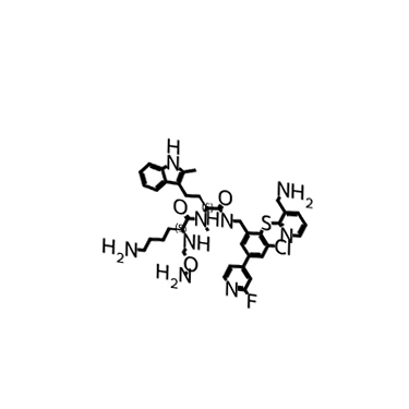 Cc1[nH]c2ccccc2c1CC[C@@H](C(=O)NCc1cc(-c2ccnc(F)c2)cc(Cl)c1Sc1ncccc1CN)N(C)C(=O)[C@H](CCCCN)NCON